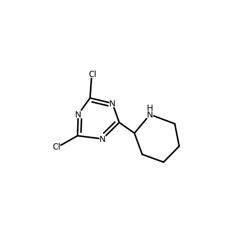 Clc1nc(Cl)nc(C2CCCCN2)n1